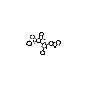 C=C1c2ccccc2-c2c1c(-c1nc(-c3ccccc3)nc(-c3ccc4c(c3)C(C)(C)c3ccccc3-4)n1)cc1c2-c2ccccc2C1(C)c1ccccc1